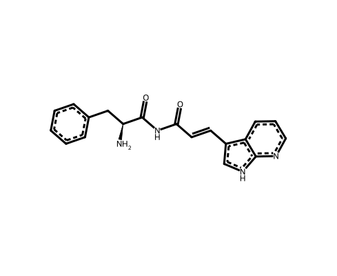 N[C@@H](Cc1ccccc1)C(=O)NC(=O)/C=C/c1c[nH]c2ncccc12